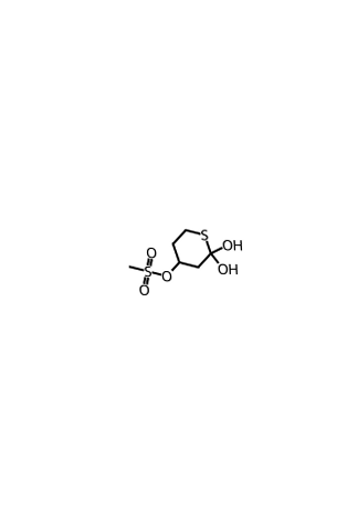 CS(=O)(=O)OC1CCSC(O)(O)C1